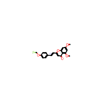 COc1cc(OC)c2c(=O)cc(/C=C/c3ccc(OCF)cc3)oc2c1